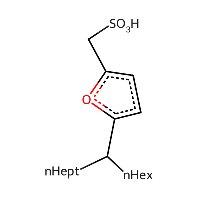 CCCCCCCC(CCCCCC)c1ccc(CS(=O)(=O)O)o1